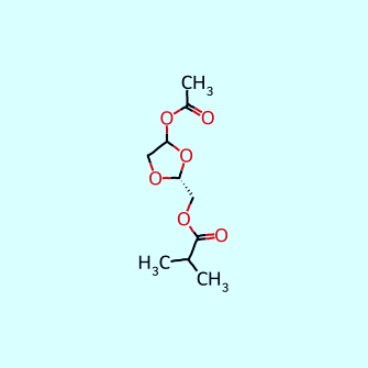 CC(=O)OC1CO[C@@H](COC(=O)C(C)C)O1